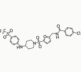 O=C(NCc1ccc(S(=O)(=O)N2CCC(Nc3ccc(S(=O)(=O)C(F)(F)F)cc3)CC2)o1)c1ccc(Cl)cc1